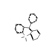 C[Si]1(C)C2=CCC=CC2=C(c2ccccc2)c2ccccc21